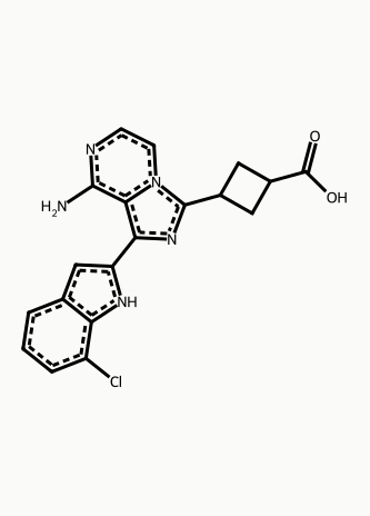 Nc1nccn2c(C3CC(C(=O)O)C3)nc(-c3cc4cccc(Cl)c4[nH]3)c12